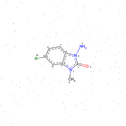 Cn1c(=O)n(N)c2ccc(Br)cc21